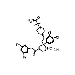 CC(C)c1cc(CC(=O)N2CCOC(CCN3CCN(C(C)(C)C(N)=O)CC3)(c3ccc(Cl)c(Cl)c3)C2)cc(C(C)C)c1.Cl.Cl